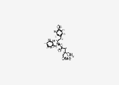 COCC(C)CC(=O)ON(CCc1ccc(O)cc1)Cc1ccccc1